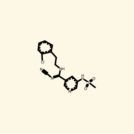 CS(=O)(=O)Nc1cncc(C(=NC#N)NCCc2ccccc2Cl)c1